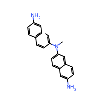 C/C=C(\C=C/c1ccc(N)cc1)N(C)c1ccc2cc(N)ccc2c1